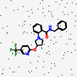 O=C(NCc1ccccc1)c1ccccc1N1CCC(Oc2ccc(C(F)(F)F)cn2)C1